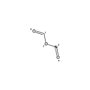 O=CON=O